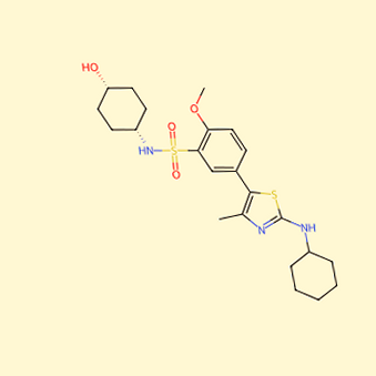 COc1ccc(-c2sc(NC3CCCCC3)nc2C)cc1S(=O)(=O)N[C@H]1CC[C@@H](O)CC1